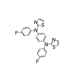 Fc1ccc(N(c2ccc(N(c3ccc(F)cc3)c3nccs3)cc2)c2nccs2)cc1